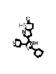 O=C1CCc2cc(-c3[nH]c(-c4ccccc4)nc3-c3ccncc3)cnc2N1